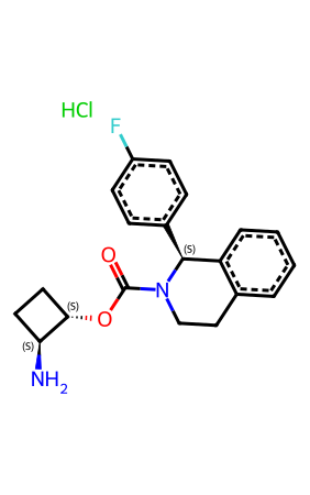 Cl.N[C@H]1CC[C@@H]1OC(=O)N1CCc2ccccc2[C@@H]1c1ccc(F)cc1